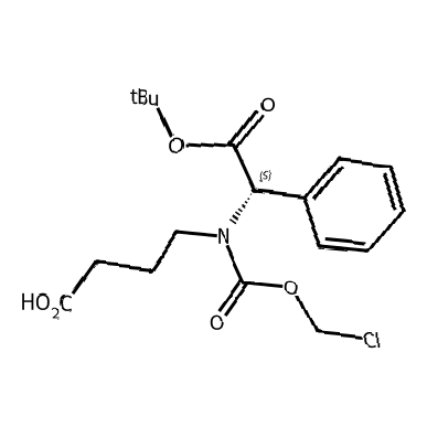 CC(C)(C)OC(=O)[C@H](c1ccccc1)N(CCCC(=O)O)C(=O)OCCl